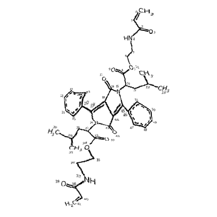 C=CC(=O)NCCOC(=O)C(CC(C)C)N1C(=O)C2=C(c3ccccc3)N(C(CC(C)C)C(=O)OCCNC(=O)C=C)C(=O)C2=C1c1ccccc1